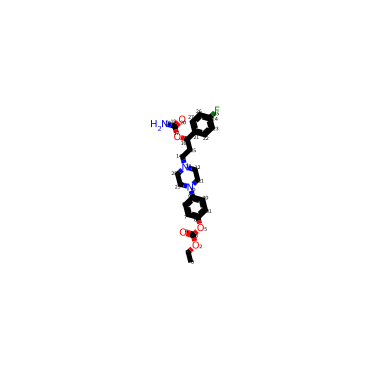 CCOC(=O)Oc1ccc(N2CCN(CCC(OC(N)=O)c3ccc(F)cc3)CC2)cc1